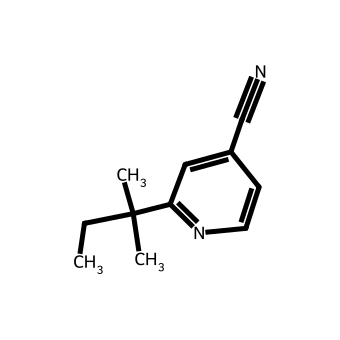 CCC(C)(C)c1cc(C#N)ccn1